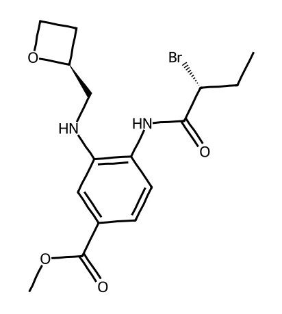 CC[C@@H](Br)C(=O)Nc1ccc(C(=O)OC)cc1NC[C@@H]1CCO1